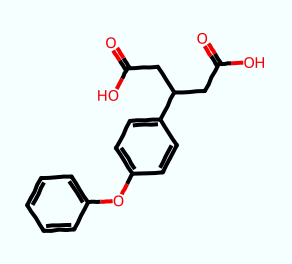 O=C(O)CC(CC(=O)O)c1ccc(Oc2ccccc2)cc1